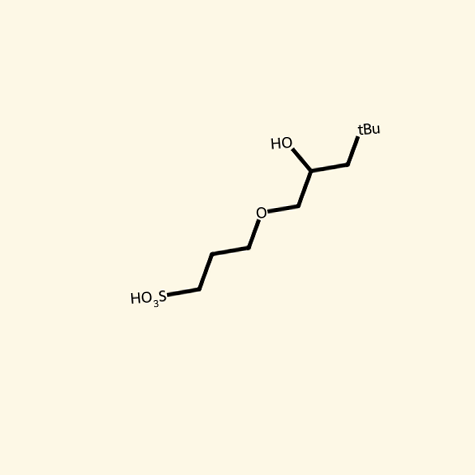 CC(C)(C)CC(O)COCCCS(=O)(=O)O